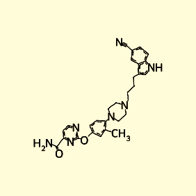 Cc1cc(Oc2nccc(C(N)=O)n2)ccc1N1CCN(CCCCc2c[nH]c3ccc(C#N)cc23)CC1